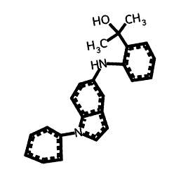 CC(C)(O)c1ccccc1Nc1ccc2c(ccn2-c2ccccc2)c1